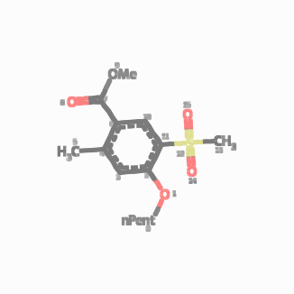 CCCCCOc1cc(C)c(C(=O)OC)cc1S(C)(=O)=O